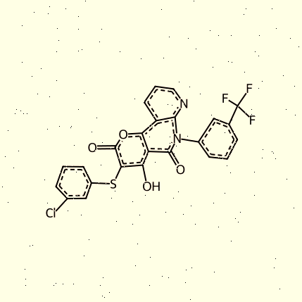 O=c1oc2c(c(O)c1Sc1cccc(Cl)c1)c(=O)n(-c1cccc(C(F)(F)F)c1)c1ncccc21